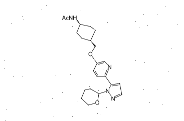 CC(=O)N[C@H]1CC[C@@H](COc2ccc(-c3ccnn3C3CCCCO3)nc2)CC1